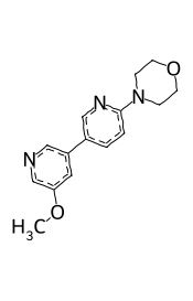 COc1cncc(-c2ccc(N3CCOCC3)nc2)c1